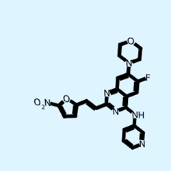 O=[N+]([O-])c1ccc(C=Cc2nc(Nc3cccnc3)c3cc(F)c(N4CCOCC4)cc3n2)o1